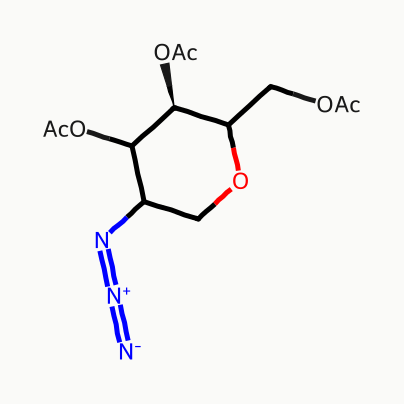 CC(=O)OCC1OCC(N=[N+]=[N-])C(OC(C)=O)[C@H]1OC(C)=O